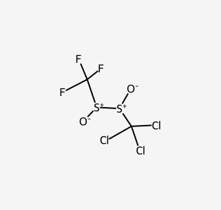 [O-][S+]([S+]([O-])C(Cl)(Cl)Cl)C(F)(F)F